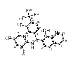 Oc1c(C(Nc2ncc(Cl)cc2F)c2ccc(C(F)(F)F)c(F)c2)ccc2cccnc12